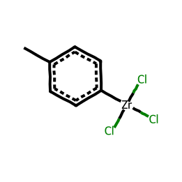 Cc1cc[c]([Zr]([Cl])([Cl])[Cl])cc1